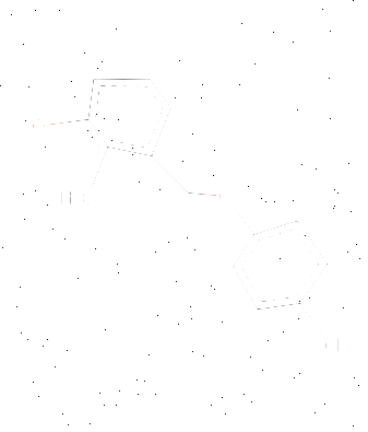 Cc1c([O])cccc1COc1ccc(Cl)cc1